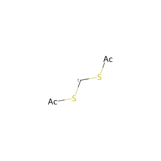 CC(=O)S[C]SC(C)=O